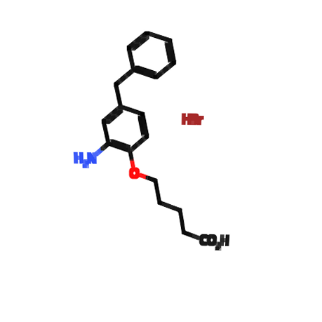 Br.Nc1cc(Cc2ccccc2)ccc1OCCCCC(=O)O